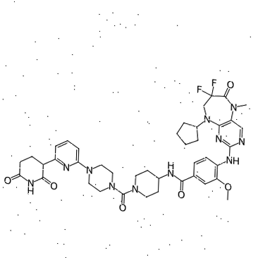 COc1cc(C(=O)NC2CCN(C(=O)N3CCN(c4cccc(C5CCC(=O)NC5=O)n4)CC3)CC2)ccc1Nc1ncc2c(n1)N(C1CCCC1)CC(F)(F)C(=O)N2C